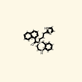 O=C(c1cccc2ccccc12)[N+]1(CCCc2ncc[nH]2)CCNc2ccccc2C1